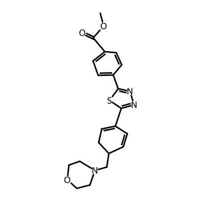 COC(=O)c1ccc(-c2nnc(C3=CCC(CN4CCOCC4)C=C3)s2)cc1